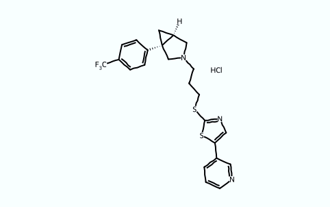 Cl.FC(F)(F)c1ccc([C@]23C[C@H]2CN(CCCSc2ncc(-c4cccnc4)s2)C3)cc1